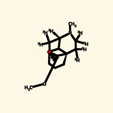 [2H]C1([2H])N(C)[C@]2([2H])C3CCCC[C@]3(c3cc(OC)ccc3C2([2H])[2H])C1([2H])[2H]